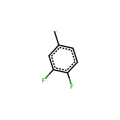 [CH2]c1ccc(F)c(F)c1